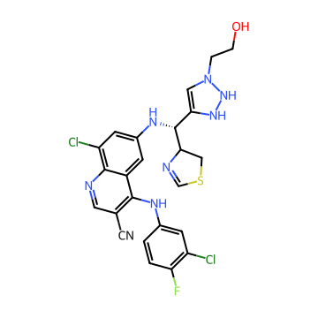 N#Cc1cnc2c(Cl)cc(N[C@H](C3=CN(CCO)NN3)C3CSC=N3)cc2c1Nc1ccc(F)c(Cl)c1